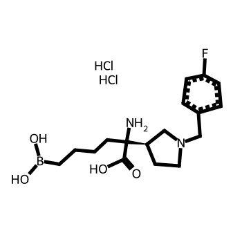 Cl.Cl.NC(CCCCB(O)O)(C(=O)O)[C@@H]1CCN(Cc2ccc(F)cc2)C1